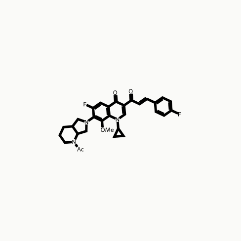 COc1c(N2CC3CCCN(C(C)=O)C3C2)c(F)cc2c(=O)c(C(=O)C=Cc3ccc(F)cc3)cn(C3CC3)c12